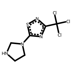 ClC(Cl)(Cl)c1nsc(N2CCNC2)n1